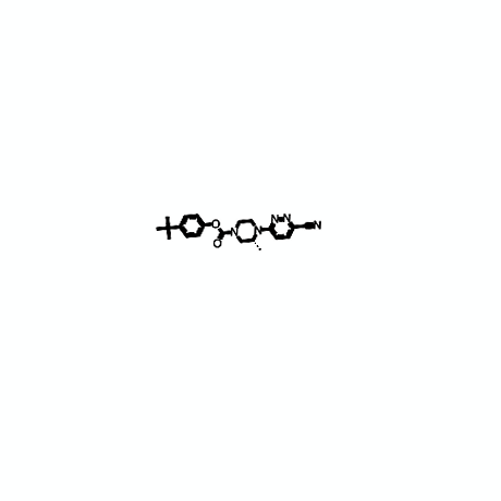 C[C@@H]1CN(C(=O)Oc2ccc(C(C)(C)C)cc2)CCN1c1ccc(C#N)nn1